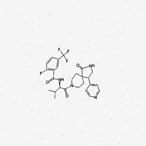 CC(C)[C@@H](NC(=O)c1cc(C(F)(F)F)ccc1F)C(=O)N1CCC2(CC1)C(=O)NCC2c1ccncc1